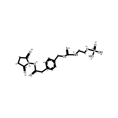 O=C(Cc1ccc(COC(=S)NCCOP(=O)(O)O)cc1)ON1C(=O)CCC1=O